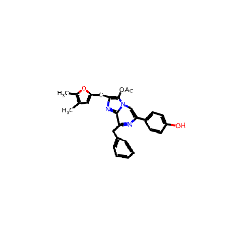 CC(=O)Oc1c(Cc2cc(C)c(C)o2)nc2c(Cc3ccccc3)nc(-c3ccc(O)cc3)cn12